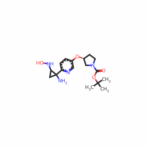 CC(C)(C)OC(=O)N1CC[C@H](Oc2ccc(C3(N)CC3NO)nc2)C1